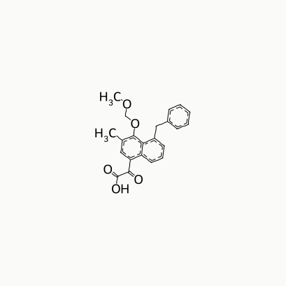 COCOc1c(C)cc(C(=O)C(=O)O)c2cccc(Cc3ccccc3)c12